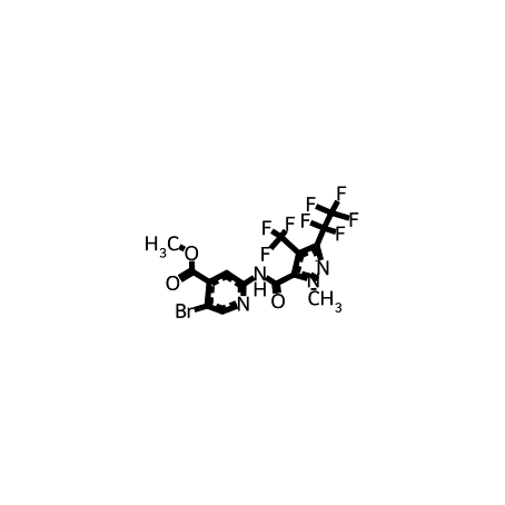 COC(=O)c1cc(NC(=O)c2c(C(F)(F)F)c(C(F)(F)C(F)(F)F)nn2C)ncc1Br